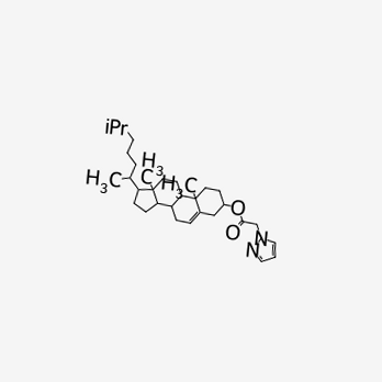 CC(C)CCCC(C)C1CCC2C3CC=C4CC(OC(=O)Cn5cccn5)CCC4(C)C3CCC12C